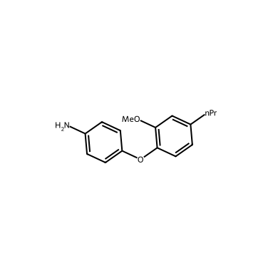 CCCc1ccc(Oc2ccc(N)cc2)c(OC)c1